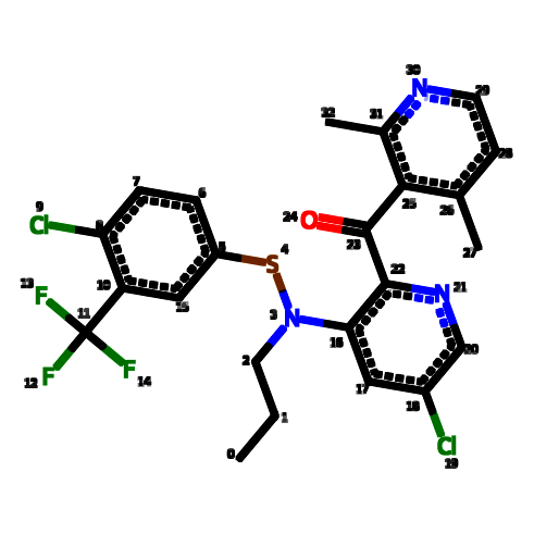 CCCN(Sc1ccc(Cl)c(C(F)(F)F)c1)c1cc(Cl)cnc1C(=O)c1c(C)ccnc1C